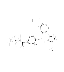 Cc1ccc(-c2noc(C3CC3)c2COc2ccc(C(=O)NC3(C)COC3)nn2)cn1